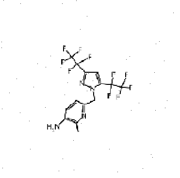 Cc1nc(Cn2nc(C(F)(F)C(F)(F)F)cc2C(F)(F)C(F)(F)F)ccc1N